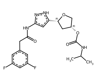 CC(C)NC(=O)O[C@H]1CO[C@@H](c2cc(NC(=O)Cc3cc(F)cc(F)c3)n[nH]2)C1